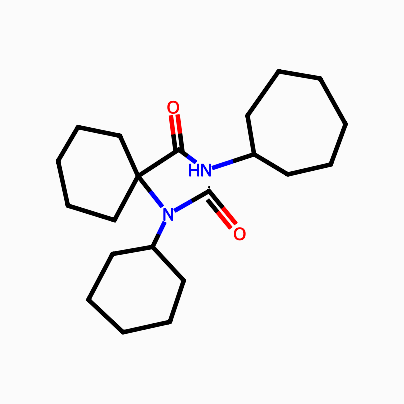 O=[C]N(C1CCCCC1)C1(C(=O)NC2CCCCCC2)CCCCC1